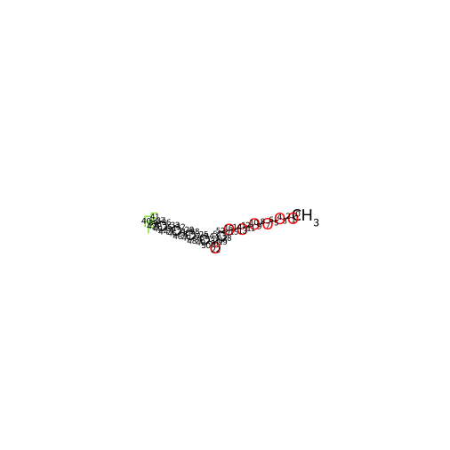 COCCOCCOCCOCCOCCOc1ccc(C(=O)c2ccc(-c3ccc(-c4ccc(-c5ccc(C(F)(F)F)cc5)cc4)cc3)cc2)cc1